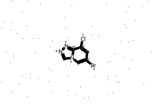 Clc1cc(Br)cn2cnnc12